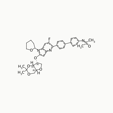 CC1(C)OC[C@H]2OC[C@@H](Oc3cc4nc(-c5ccc(-c6ccc(N=S(C)(C)=O)cc6)cc5)c(F)cc4n3C3CCCCO3)[C@H]2O1